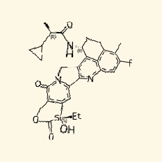 CC[Si@@]1(O)C(=O)OCc2c1cc1n(c2=O)Cc2c-1nc1cc(F)c(C)c3c1c2[C@H](NC(=O)[C@H](C)C1CC1)CC3